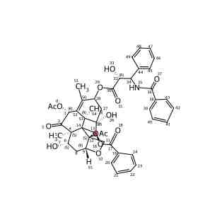 CC(=O)O[C@H]1C(=O)[C@]2(C)[C@@H](O)C[C@H]3OC[C@@]3(OC(C)=O)C23[C@H](OC(=O)c2ccccc2)[C@]2(O)CC(OC(=O)[C@H](O)C(NC(=O)c4ccccc4)c4ccccc4)C(C)=C1[C@]32C